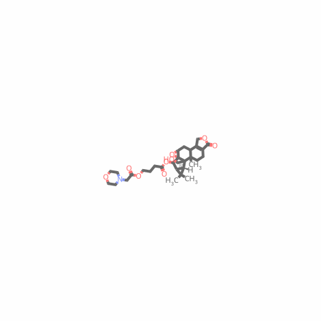 CC1(C)C2C(OC(=O)CCCOC(=O)CN3CCOCC3)C34OC3CC3C5=C(CCC3(C)C4(CO)[C@@H]21)C(=O)OC5